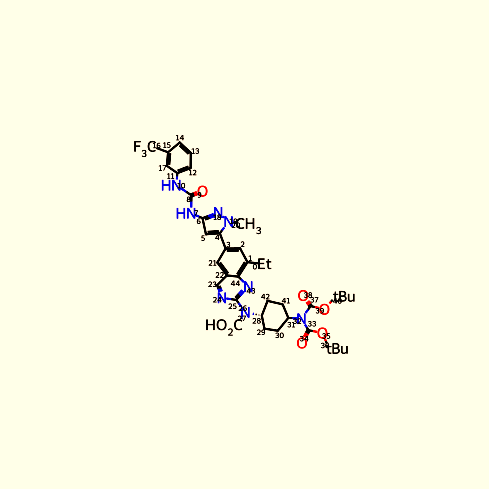 CCc1cc(-c2cc(NC(=O)Nc3cccc(C(F)(F)F)c3)nn2C)cc2cnc(N(C(=O)O)[C@H]3CC[C@H](N(C(=O)OC(C)(C)C)C(=O)OC(C)(C)C)CC3)nc12